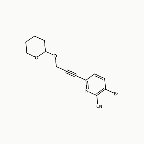 N#Cc1nc(C#CCOC2CCCCO2)ccc1Br